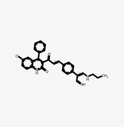 CCCN/C=C(\C=N)c1ccc(/C=C/C(=O)c2c(-c3ccccc3)c3cc(Cl)ccc3[nH]c2=O)cc1